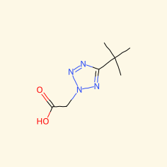 CC(C)(C)c1nnn(CC(=O)O)n1